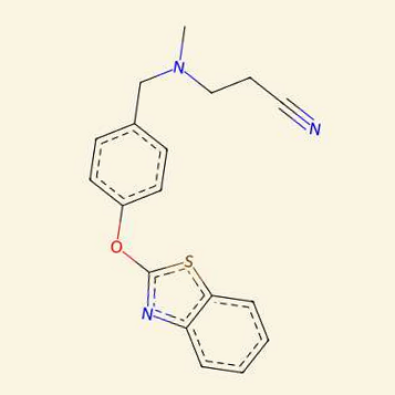 CN(CCC#N)Cc1ccc(Oc2nc3ccccc3s2)cc1